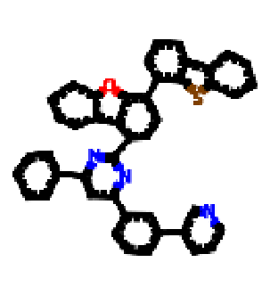 c1ccc(-c2cc(-c3cccc(-c4cccnc4)c3)nc(-c3ccc(-c4cccc5c4sc4ccccc45)c4oc5ccccc5c34)n2)cc1